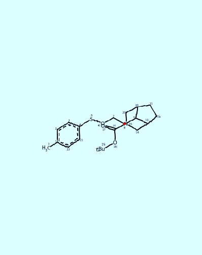 Cc1ccc(SOCCC2C3CCC2CN(C(=O)OC(C)(C)C)C3)cc1